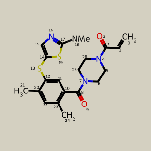 C=CC(=O)N1CCN(C(=O)c2cc(Sc3cnc(NC)s3)c(C)cc2C)CC1